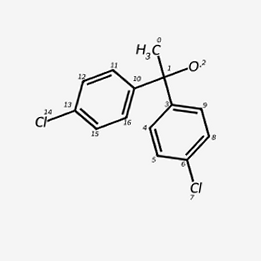 CC([O])(c1ccc(Cl)cc1)c1ccc(Cl)cc1